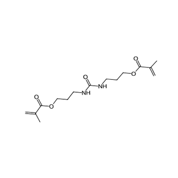 C=C(C)C(=O)OCCCNC(=O)NCCCOC(=O)C(=C)C